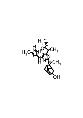 COC(=O)C(C)c1nc(N(C)C2C3CC4CC2CC(O)(C4)C3)nc(Nc2cc(C)[nH]n2)c1F